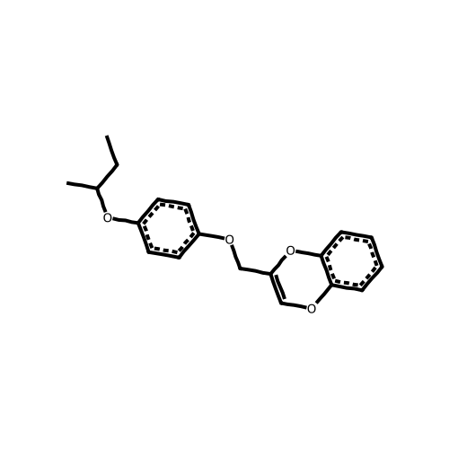 CCC(C)Oc1ccc(OCC2=COc3ccccc3O2)cc1